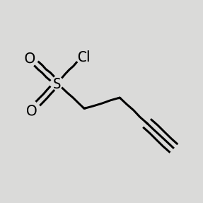 C#CCCS(=O)(=O)Cl